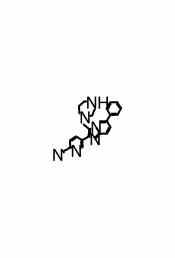 N#Cc1ccc(-c2nc3ccc(-c4ccccc4)cn3c2CN2CCCNCC2)cn1